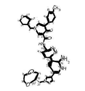 Cc1ccc(-c2cn(CC3CCOCC3)cc(C(=O)Nc3ccc(C4=CC(c5cnn(C[C@H]6COCCO6)c5)=CNC4N)nn3)c2=O)cc1